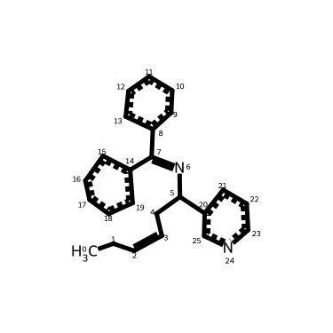 CC/C=C\CC(N=C(c1ccccc1)c1ccccc1)c1cccnc1